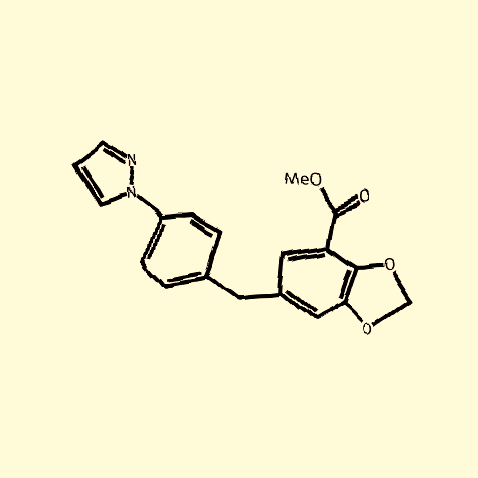 COC(=O)c1cc(Cc2ccc(-n3cccn3)cc2)cc2c1OCO2